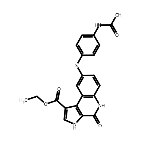 CCOC(=O)c1c[nH]c2c(=O)[nH]c3ccc(Sc4ccc(NC(C)=O)cc4)cc3c12